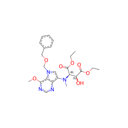 CCOC(=O)[C@@H](O)[C@H](C(=O)OCC)N(C)c1cn(COCc2ccccc2)c2c(OC)ncnc12